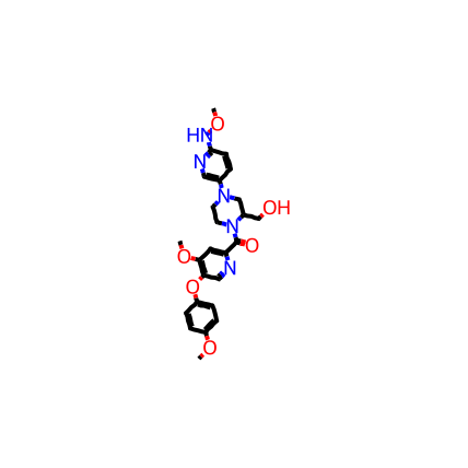 CONc1ccc(N2CCN(C(=O)c3cc(OC)c(Oc4ccc(OC)cc4)cn3)C(CO)C2)cn1